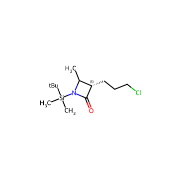 CC1[C@H](CCCCl)C(=O)N1[Si](C)(C)C(C)(C)C